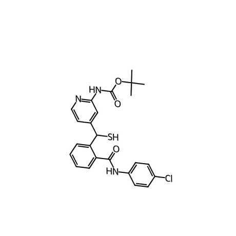 CC(C)(C)OC(=O)Nc1cc(C(S)c2ccccc2C(=O)Nc2ccc(Cl)cc2)ccn1